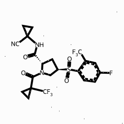 N#CC1(NC(=O)[C@@H]2C[C@@H](S(=O)(=O)c3ccc(F)cc3C(F)(F)F)CN2C(=O)C2(C(F)(F)F)CC2)CC1